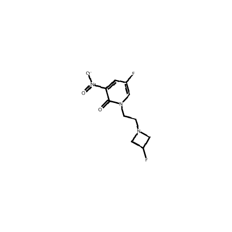 O=c1c([N+](=O)[O-])cc(F)cn1CCN1CC(F)C1